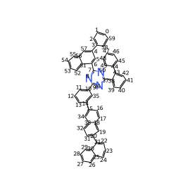 c1ccc(-c2cc(-c3nc(-c4cccc(-c5ccc6cc(-c7cccc8ccccc78)ccc6c5)c4)nc(-c4ccccc4-c4ccccc4)n3)c3ccccc3c2)cc1